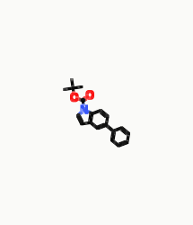 CC(C)(C)OC(=O)n1ccc2cc(-c3ccccc3)ccc21